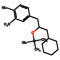 CC(C)(C)c1ccc(CC(CC2CCCCC2)O[Si](C)(C)C(C)(C)C)cc1[N+](=O)[O-]